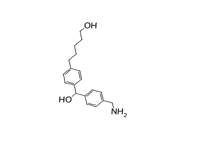 NCc1ccc(C(O)c2ccc(CCCCCO)cc2)cc1